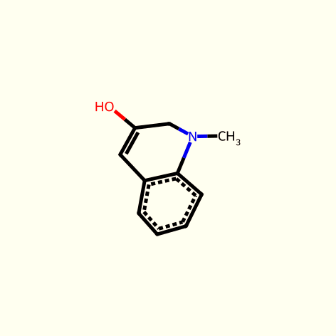 CN1CC(O)=Cc2ccccc21